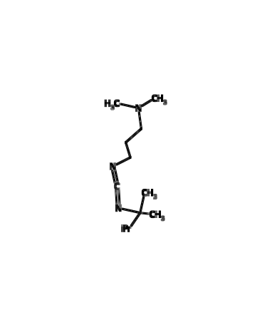 CC(C)C(C)(C)N=C=NCCCN(C)C